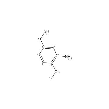 COc1ccc(CS)cc1N